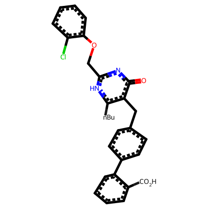 CCCCc1[nH]c(COc2ccccc2Cl)nc(=O)c1Cc1ccc(-c2ccccc2C(=O)O)cc1